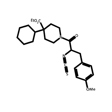 CCOC(=O)C1(C2CCCCC2)CCN(C(=O)C(Cc2ccc(OC)cc2)N=C=S)CC1